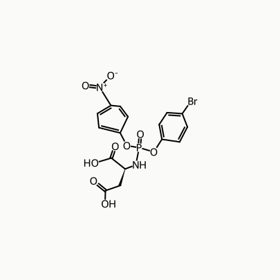 O=C(O)C[C@H](NP(=O)(Oc1ccc(Br)cc1)Oc1ccc([N+](=O)[O-])cc1)C(=O)O